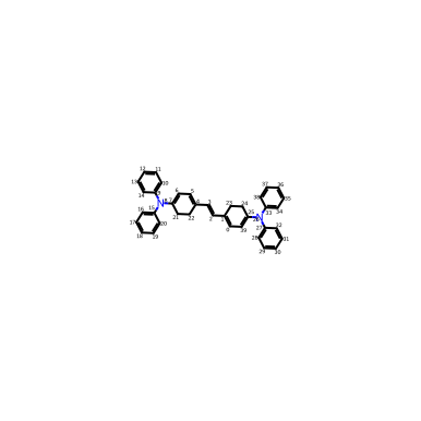 C1=C(/C=C/C2=CC=C(N(c3ccccc3)c3ccccc3)CC2)CCC(N(c2ccccc2)c2ccccc2)=C1